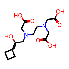 O=C(O)CN(CCN(CC(=O)O)CC(O)=C1CCC1)CC(=O)O